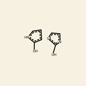 Oc1ccc[nH]1.Oc1nccs1